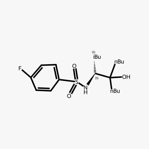 CCCCC(O)(CCCC)[C@@H](NS(=O)(=O)c1ccc(F)cc1)[C@@H](C)CC